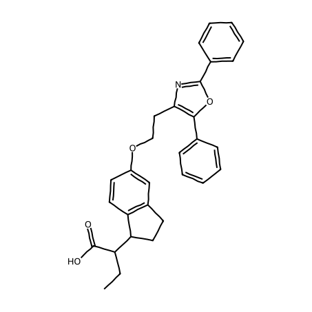 CCC(C(=O)O)C1CCc2cc(OCCc3nc(-c4ccccc4)oc3-c3ccccc3)ccc21